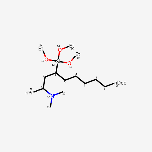 CCCCCCCCCCCCCCCC(CC(CCC)N(C)C)[Si](OCC)(OCC)OCC